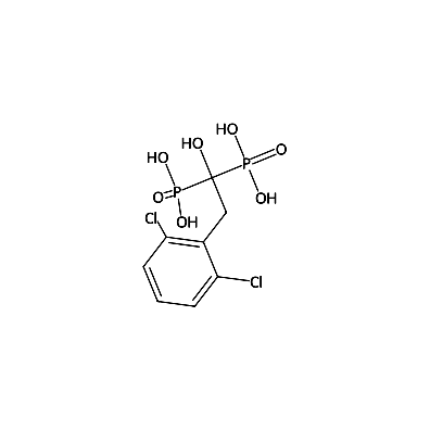 O=P(O)(O)C(O)(Cc1c(Cl)cccc1Cl)P(=O)(O)O